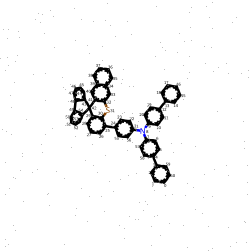 c1ccc(-c2ccc(N(c3ccc(-c4ccccc4)cc3)c3ccc(-c4cccc5c4Sc4cc6ccccc6cc4C54c5ccccc5-c5ccccc54)cc3)cc2)cc1